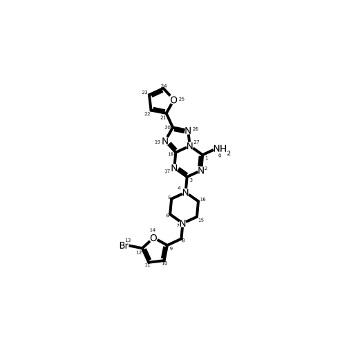 Nc1nc(N2CCN(Cc3ccc(Br)o3)CC2)nc2nc(-c3ccco3)nn12